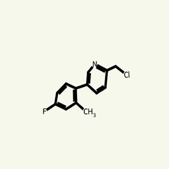 Cc1cc(F)ccc1-c1ccc(CCl)nc1